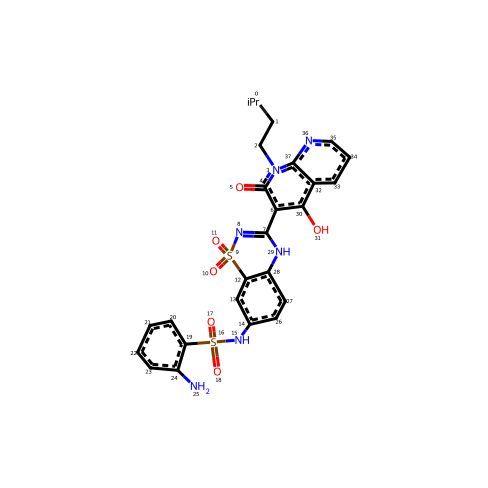 CC(C)CCn1c(=O)c(C2=NS(=O)(=O)c3cc(NS(=O)(=O)c4ccccc4N)ccc3N2)c(O)c2cccnc21